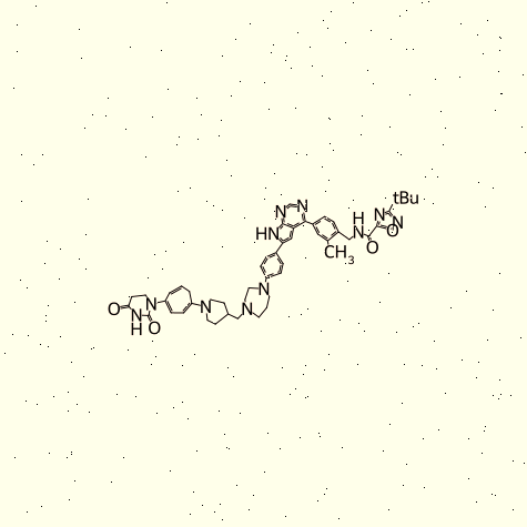 Cc1cc(-c2ncnc3[nH]c(-c4ccc(N5CCCN(CC6CCN(C7=CC=C(N8CCC(=O)NC8=O)C=CC7)CC6)CC5)cc4)cc23)ccc1CNC(=O)c1nc(C(C)(C)C)no1